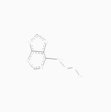 CCCONNc1ncnc2nc[nH]c12